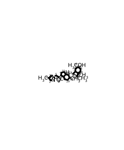 Cc1cnn(CC(=O)[C@H]2CC[C@H]3[C@H](C[C@H]4O[C@H](C)C5(C)CC[C@@](C)(O)CC45)C(C)CC[C@]23C)c1